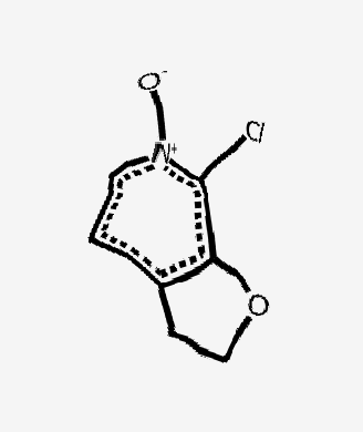 [O-][n+]1ccc2c(c1Cl)OCC2